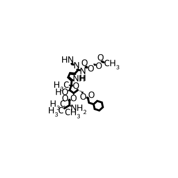 CC(=O)OCOC(=O)N/C(=N/C=N)c1ccc([C@]2(C)O[C@H](COC(=O)CC3CCCCC3)[C@@H](OC(=O)[C@@H](N)C(C)(C)C)[C@H]2O)[nH]1